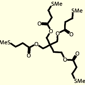 CSCCC(=O)OCCC(COC(=O)CCSC)(COC(=O)CCSC)COC(=O)CCSC